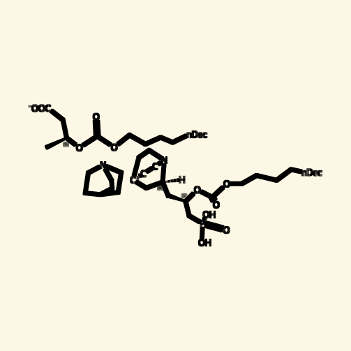 C1CN2CCC1CC2.CCCCCCCCCCCCCCOC(=O)O[C@@H](C)CC(=O)[O-].CCCCCCCCCCCCCCOC(=O)O[C@H](C[C@H]1C[C+]2CCN1CC2)CP(=O)(O)O